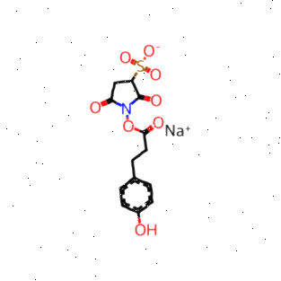 O=C(CCc1ccc(O)cc1)ON1C(=O)CC(S(=O)(=O)[O-])C1=O.[Na+]